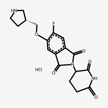 Cl.O=C1CCC(N2C(=O)c3cc(F)c(OC[C@@H]4CCNC4)cc3C2=O)C(=O)N1